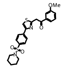 COc1cccc(C(=O)Cc2nc(-c3ccc(S(=O)(=O)N4CCCCC4)cc3)cs2)c1